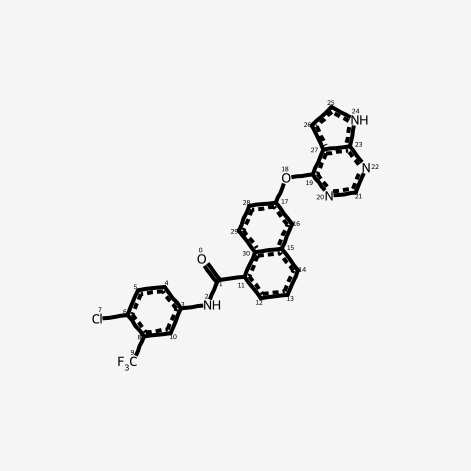 O=C(Nc1ccc(Cl)c(C(F)(F)F)c1)c1cccc2cc(Oc3ncnc4[nH]ccc34)ccc12